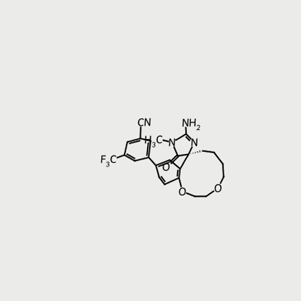 CN1C(=O)[C@@]2(CCCCOCCOc3ccc(-c4cc(C#N)cc(C(F)(F)F)c4)cc32)N=C1N